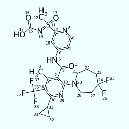 Cc1c(C(=O)Nc2ccnc(S(C)(=O)=NC(=O)O)c2)c(N2CCCC(F)(F)CC2)nc(C2CC2)c1C(F)(F)F